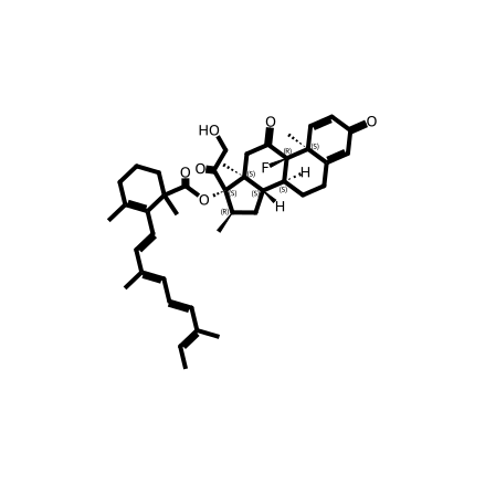 CC=C(C)C=CC=C(C)C=CC1=C(C)CCCC1(C)C(=O)O[C@@]1(C(=O)CO)[C@H](C)C[C@H]2[C@@H]3CCC4=CC(=O)C=C[C@]4(C)[C@@]3(F)C(=O)C[C@@]21C